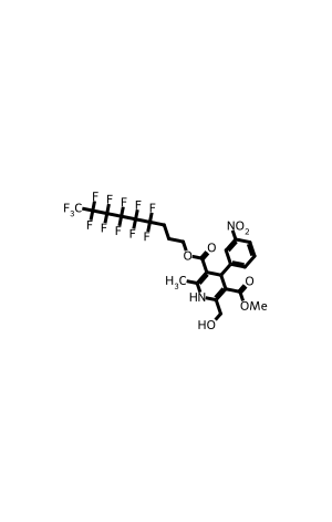 COC(=O)C1=C(CO)NC(C)=C(C(=O)OCCCC(F)(F)C(F)(F)C(F)(F)C(F)(F)C(F)(F)C(F)(F)F)C1c1cccc([N+](=O)[O-])c1